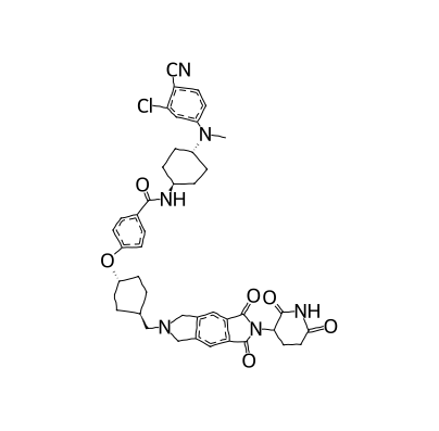 CN(c1ccc(C#N)c(Cl)c1)[C@H]1CC[C@H](NC(=O)c2ccc(O[C@H]3CC[C@H](CN4Cc5cc6c(cc5C4)C(=O)N(C4CCC(=O)NC4=O)C6=O)CC3)cc2)CC1